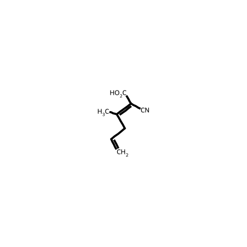 C=CCC(C)=C(C#N)C(=O)O